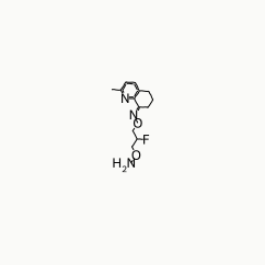 Cc1ccc2c(n1)C(=NOCC(F)CON)CCC2